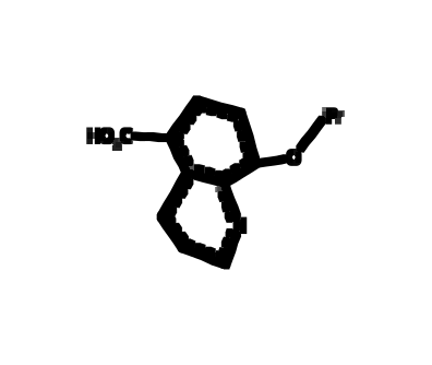 CC(C)Oc1ccc(C(=O)O)c2cccnc12